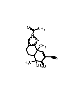 CC(=O)n1cc2c(n1)C1(C)C=C(C#N)C(=O)C(C)(C)C1CC2